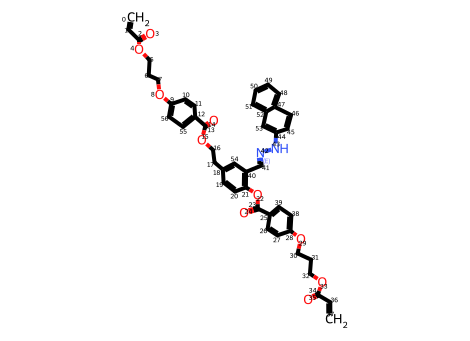 C=CC(=O)OCCCOc1ccc(C(=O)OCCc2ccc(OC(=O)c3ccc(OCCCOC(=O)C=C)cc3)c(/C=N/Nc3ccc4ccccc4c3)c2)cc1